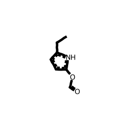 CCc1ccc(OC=O)[nH]1